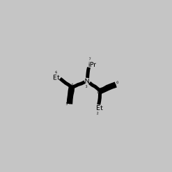 C=C(CC)N(C(=C)CC)C(C)C